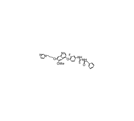 COc1cc2c(Oc3ccc(NC(=S)NC(=O)Cc4ccccc4)cc3F)ccnc2cc1OCCCn1ccnc1